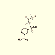 O=C(O)c1ccc(CNC(=O)C(F)(F)F)c(S(=O)(=O)O)c1